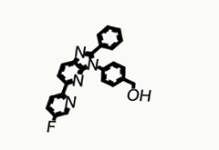 OCc1ccc(-n2c(-c3ccccc3)nc3ccc(-c4ccc(F)cn4)nc32)cc1